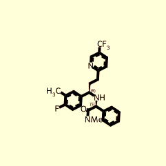 CNC(=O)[C@@H](N[C@H](CCc1ccc(C(F)(F)F)cn1)c1ccc(F)c(C)c1)c1ccccc1